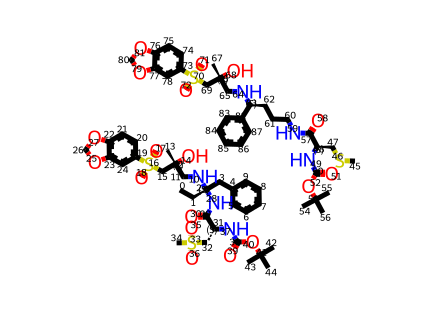 CC[C@](Cc1ccccc1)(NC[C@@](C)(O)CS(=O)(=O)c1ccc2c(c1)OCO2)NC(=O)[C@@H](CS(C)(=O)=O)NC(=O)OC(C)(C)C.CSC[C@@H](NC(=O)OC(C)(C)C)C(=O)NCCC[C@H](NC[C@@](C)(O)CS(=O)(=O)c1ccc2c(c1)OCO2)c1ccccc1